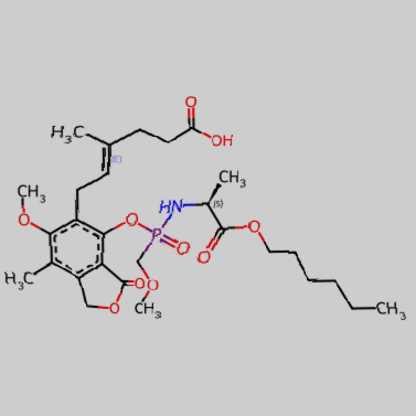 CCCCCCOC(=O)[C@H](C)NP(=O)(COC)Oc1c(C/C=C(\C)CCC(=O)O)c(OC)c(C)c2c1C(=O)OC2